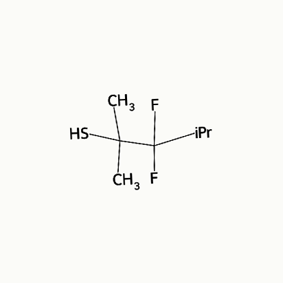 CC(C)C(F)(F)C(C)(C)S